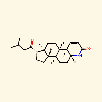 CC(C)CC(=O)[C@H]1CC[C@H]2[C@@H]3CC[C@H]4NC(=O)C=C[C@]4(C)[C@H]3CC[C@]12C